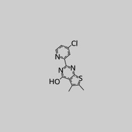 Cc1sc2nc(-c3cc(Cl)ccn3)nc(O)c2c1C